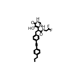 CCCc1ccc(C#Cc2ccc(CC(C(=O)NCC(F)F)c3nc[nH]c(=O)c3O)cc2)cc1